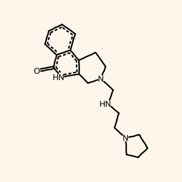 O=c1[nH]c2c(c3ccccc13)CCN(CNCCN1CCCC1)C2